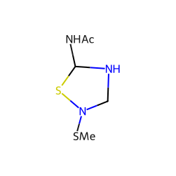 [CH2]SN1CNC(NC(C)=O)S1